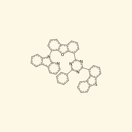 c1ccc(-c2nc(-c3cccc4c3oc3c(-n5c6ccccc6c6cccnc65)cccc34)nc(-c3cccc4sc5ccccc5c34)n2)cc1